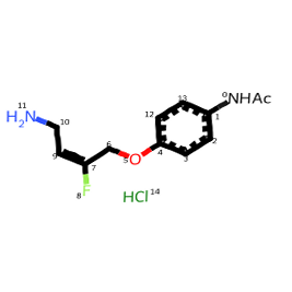 CC(=O)Nc1ccc(OC/C(F)=C\CN)cc1.Cl